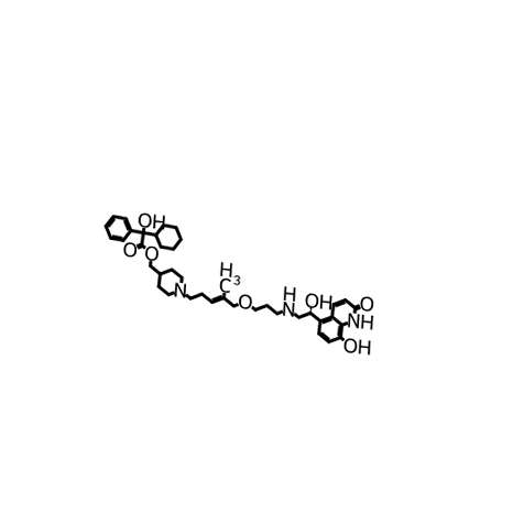 C/C(=C\CCN1CCC(COC(=O)C(O)(c2ccccc2)C2CCCCC2)CC1)COCCCNC[C@H](O)c1ccc(O)c2[nH]c(=O)ccc12